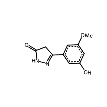 COc1cc(O)cc(C2=NNC(=O)C2)c1